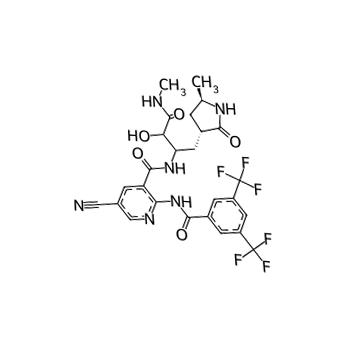 CNC(=O)C(O)C(C[C@@H]1C[C@@H](C)NC1=O)NC(=O)c1cc(C#N)cnc1NC(=O)c1cc(C(F)(F)F)cc(C(F)(F)F)c1